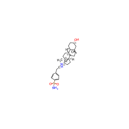 C[C@]12CC[C@H]3[C@@H](CC=C4C[C@@H](O)CC[C@@]43C)[C@@H]1CC[C@@H]2NCCc1ccc(S(N)(=O)=O)cc1